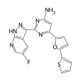 Nc1cc(-c2ccc(-c3cccs3)o2)nc(-c2n[nH]c3ncc(F)cc23)n1